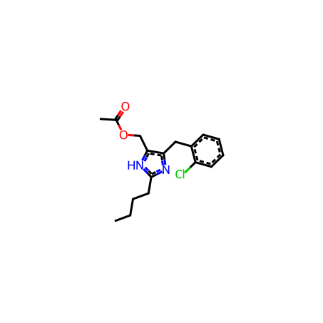 CCCCc1nc(Cc2ccccc2Cl)c(COC(C)=O)[nH]1